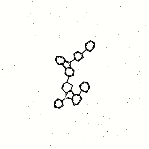 C1=CC(c2ccc3c(c2)c2ccccc2n3-c2ccc(-c3ccccc3)cc2)Cc2c1n(-c1ccccc1)c1cccc(-c3ccccc3)c21